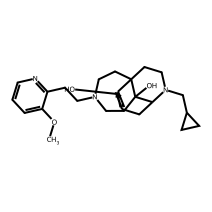 COc1cccnc1CCN1CCC23CCN(CC4CC4)C(Cc4ccc(O)cc42)C3(O)CC1